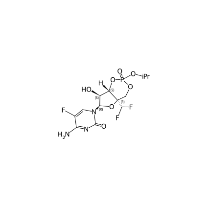 CC(C)OP1(=O)OC[C@@]2(C(F)F)O[C@@H](n3cc(F)c(N)nc3=O)[C@@H](O)[C@@H]2O1